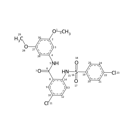 COc1cc(NC(=O)c2cc(Cl)ccc2NS(=O)(=O)c2ccc(Cl)cc2)cc(OC)c1